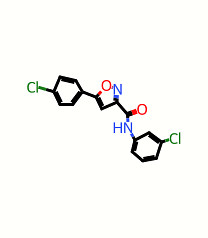 O=C(Nc1cccc(Cl)c1)c1cc(-c2ccc(Cl)cc2)on1